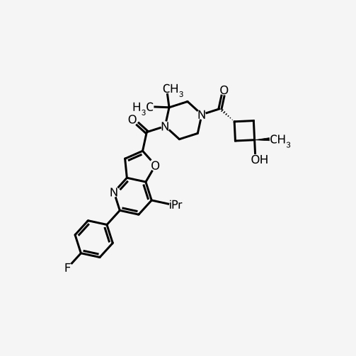 CC(C)c1cc(-c2ccc(F)cc2)nc2cc(C(=O)N3CCN(C(=O)[C@H]4C[C@@](C)(O)C4)CC3(C)C)oc12